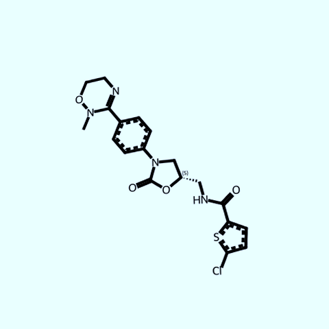 CN1OCCN=C1c1ccc(N2C[C@H](CNC(=O)c3ccc(Cl)s3)OC2=O)cc1